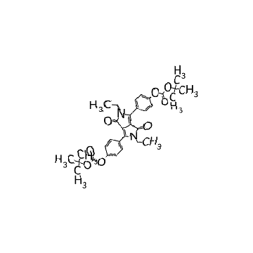 CCN1C(=O)C2=C(c3ccc(OC(=O)OC(C)(C)C)cc3)N(CC)C(=O)C2=C1c1ccc(OC(=O)OC(C)(C)C)cc1